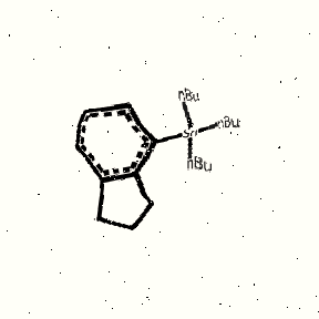 CCC[CH2][Sn]([CH2]CCC)([CH2]CCC)[c]1cccc2c1CC[CH]2